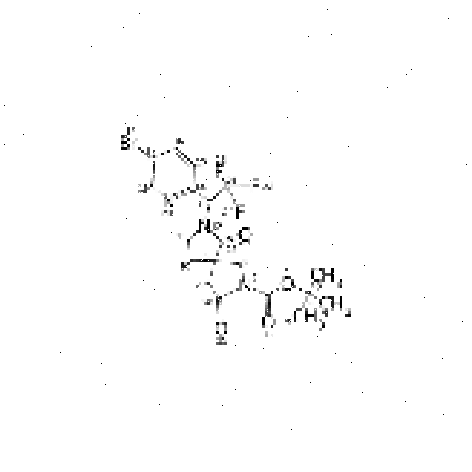 CC(C)(C)OC(=O)N1CC2(CCN(C(c3ccc(Br)cn3)C(F)(F)F)C2=O)CC1=O